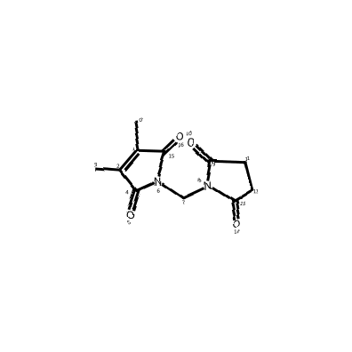 CC1=C(C)C(=O)N(CN2C(=O)CCC2=O)C1=O